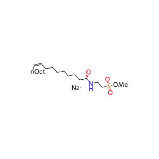 CCCCCCCC/C=C\CCCCCCCC(=O)NCCS(=O)(=O)OC.[Na]